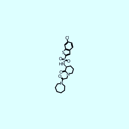 O=C(CN1CCC[C@H](NS(=O)(=O)c2cc3ccc(Cl)cc3s2)C1=O)N1CCCCCC1